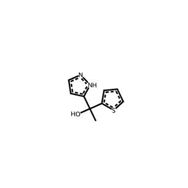 CC(O)(c1ccn[nH]1)c1cccs1